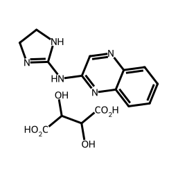 O=C(O)C(O)C(O)C(=O)O.c1ccc2nc(NC3=NCCN3)cnc2c1